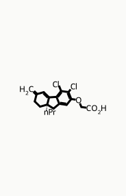 C=C1C=C2c3c(cc(OCC(=O)O)c(Cl)c3Cl)C[C@@]2(CCC)CC1